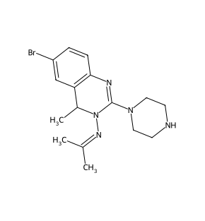 CC(C)=NN1C(N2CCNCC2)=Nc2ccc(Br)cc2C1C